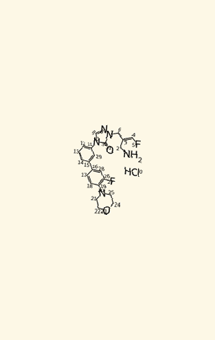 Cl.NC/C(=C\F)Cn1ncn(-c2cccc(-c3ccc(N4CCOCC4)c(F)c3)c2)c1=O